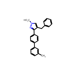 Cc1cccc(-c2ccc(-c3nn(C(=O)O)cc3Cc3ccccc3)cc2)c1